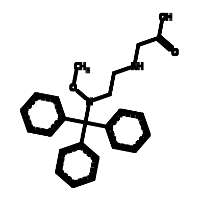 CON(CCNCC(=O)O)C(c1ccccc1)(c1ccccc1)c1ccccc1